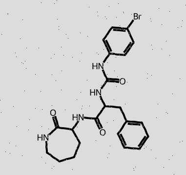 O=C(Nc1ccc(Br)cc1)NC(Cc1ccccc1)C(=O)NC1CCCCNC1=O